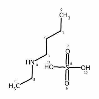 CCCCNCC.O=S(=O)(O)O